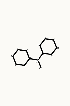 CP(C1CCCCC1)C1CCCCC1